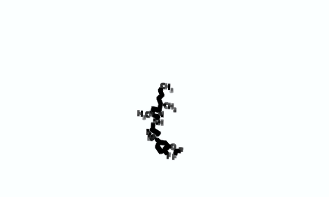 CCCC[C@H](C)c1cn(C)c(NCc2cn(-c3ccc(F)c(OC(F)F)c3)nn2)n1